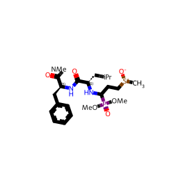 CNC(=O)[C@H](Cc1ccccc1)NC(=O)[C@H](CC(C)C)NC(CC[S+](C)[O-])P(=O)(OC)OC